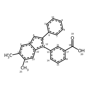 Cc1cc2cc(-c3ccccc3)n(-c3cccc(C(=O)O)c3)c2cc1C